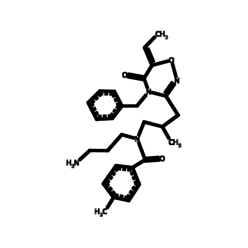 CC=C1ON=C(CC(C)CN(CCCN)C(=O)c2ccc(C)cc2)N(Cc2ccccc2)C1=O